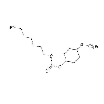 CCOC(=O)OC1CCC(OC(=O)OCCCCCCC(C)C)CC1